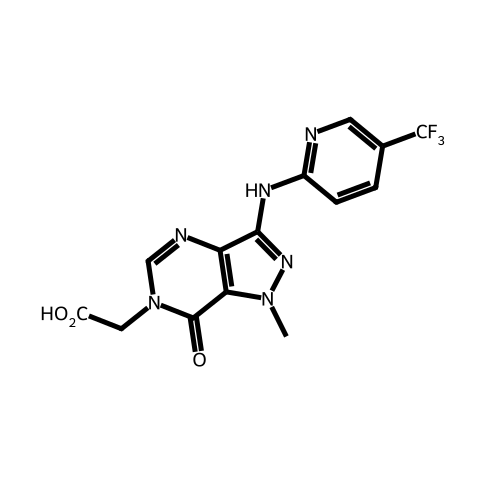 Cn1nc(Nc2ccc(C(F)(F)F)cn2)c2ncn(CC(=O)O)c(=O)c21